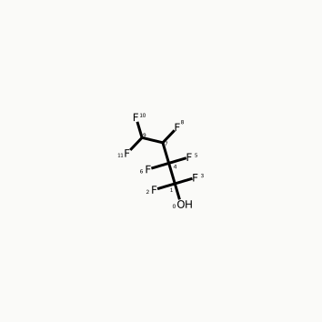 OC(F)(F)C(F)(F)C(F)C(F)F